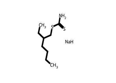 CCCCC(CC)CSC(N)=S.[NaH]